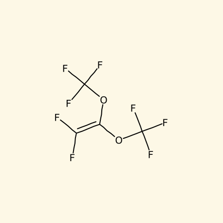 FC(F)=C(OC(F)(F)F)OC(F)(F)F